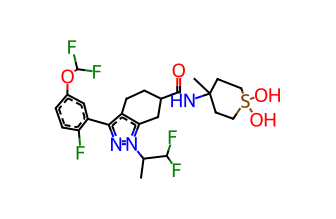 CC(C(F)F)n1nc(-c2cc(OC(F)F)ccc2F)c2c1CC(C(=O)NC1(C)CCS(O)(O)CC1)CC2